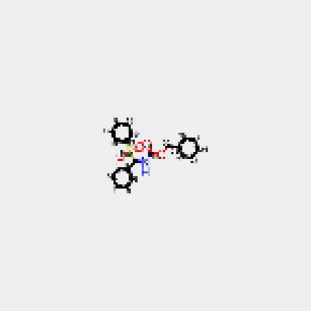 O=C(NC(c1ccccc1)S(=O)(=O)c1ccccc1)OCc1ccccc1